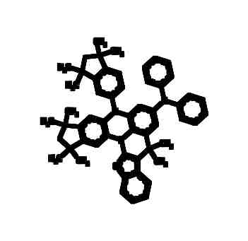 CC1(C)CC(C)(C)c2cc(N3c4cc5c(cc4B4c6oc7ccccc7c6C(C)(C)c6cc(N(c7ccccc7)c7ccccc7)cc3c64)C(C)(C)CC5(C)C)ccc21